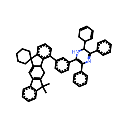 CC1(C)C2=C(C=C3C(C2)c2c(-c4cccc(C5=C(c6ccccc6)N=C(c6ccccc6)C(C6C=CC=CC6)N5)c4)cccc2C32CCCCC2)c2ccccc21